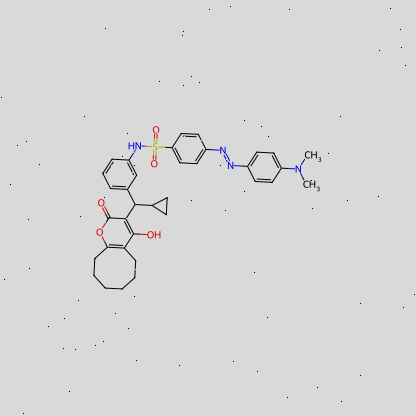 CN(C)c1ccc(N=Nc2ccc(S(=O)(=O)Nc3cccc(C(c4c(O)c5c(oc4=O)CCCCCC5)C4CC4)c3)cc2)cc1